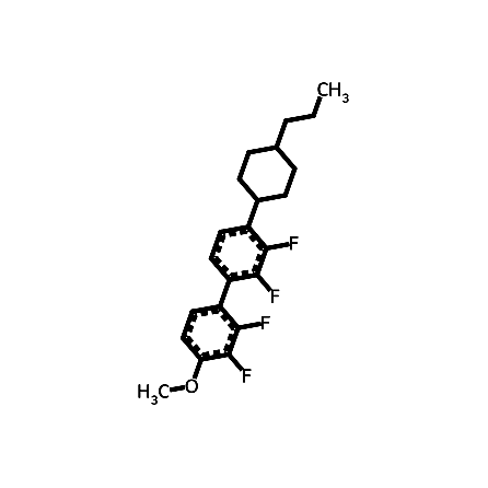 CCCC1CCC(c2ccc(-c3ccc(OC)c(F)c3F)c(F)c2F)CC1